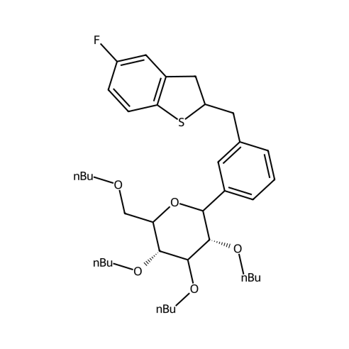 CCCCOCC1OC(c2cccc(CC3Cc4cc(F)ccc4S3)c2)[C@H](OCCCC)C(OCCCC)[C@@H]1OCCCC